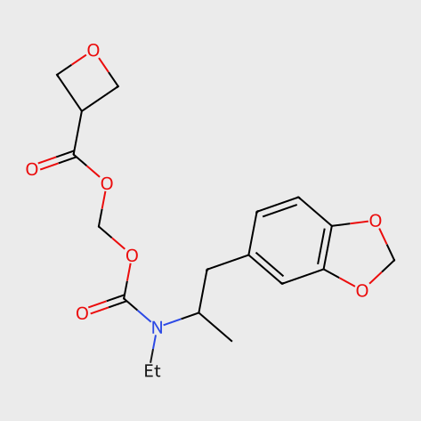 CCN(C(=O)OCOC(=O)C1COC1)C(C)Cc1ccc2c(c1)OCO2